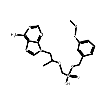 CSSc1cccc(COP(=O)(O)COC(C)Cn2cnc3c(N)ncnc32)c1